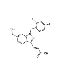 O=C(O)C=Cc1nn(Cc2ccc(F)cc2F)c2cc(CO)ccc12